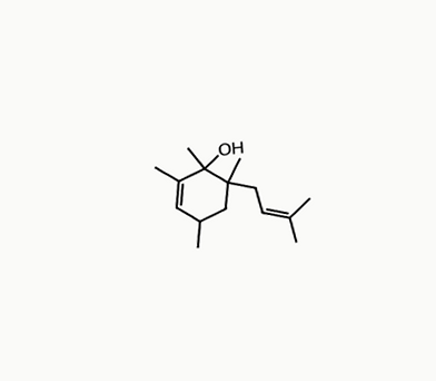 CC(C)=CCC1(C)CC(C)C=C(C)C1(C)O